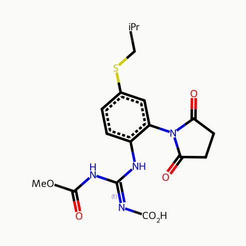 COC(=O)N/C(=N/C(=O)O)Nc1ccc(SCC(C)C)cc1N1C(=O)CCC1=O